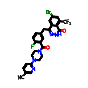 N#Cc1ccc(N2CCN(C(=O)c3cc(Cc4n[nH]c(=O)c5c(C(F)(F)F)cc(Br)cc45)ccc3F)CC2)nc1